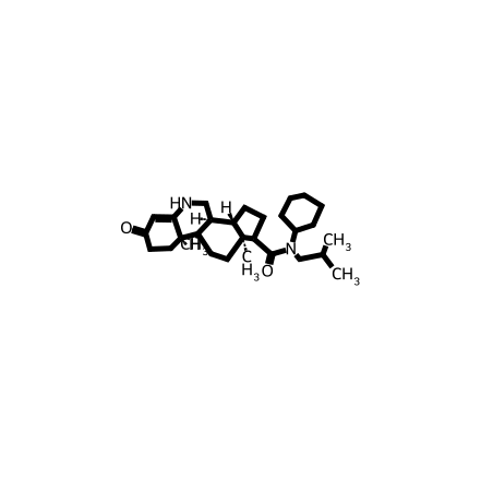 CC(C)CN(C(=O)C1CC[C@H]2[C@@H]3CNC4=CC(=O)CC[C@]4(C)[C@@H]3CC[C@]12C)C1CCCCC1